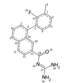 Cc1cccc(-c2cccc3ccc(C(=O)N=C(N)N)cc23)c1F